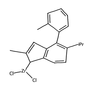 CC1=Cc2c(ccc(C(C)C)c2-c2ccccc2C)[CH]1[Zr]([Cl])[Cl]